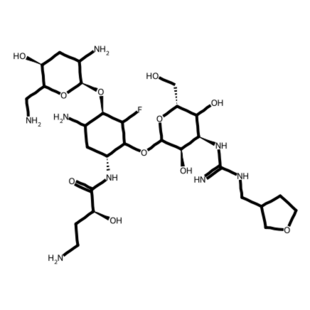 N=C(NCC1CCOC1)N[C@@H]1C(O)[C@@H](CO)OC(OC2C(F)[C@H](O[C@H]3OC(CN)[C@@H](O)CC3N)C(N)C[C@H]2NC(=O)[C@@H](O)CCN)[C@@H]1O